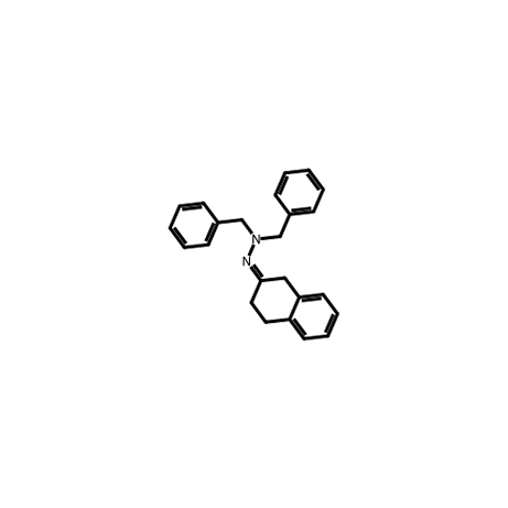 c1ccc(CN(Cc2ccccc2)N=C2CCc3ccccc3C2)cc1